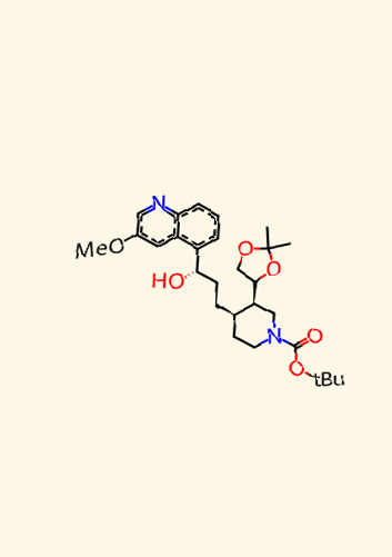 COc1cnc2cccc([C@@H](O)CC[C@@H]3CCN(C(=O)OC(C)(C)C)C[C@@H]3C3COC(C)(C)O3)c2c1